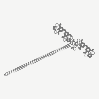 C=C=C=C=C=C=C=C=C=C=C=C=C=C=C=C=C=C=C=C=C=C=C=C=C=C=C=C=C=C=C=C=C=C=C=C(N(C(C)=O)C1CC(=O)N(c2c(CC)cc(Cc3cc(CC)c(N4C(=O)C=CC4=O)c(CC)c3)cc2CC)C1=O)N(C(C)C)C1CC(=O)N(c2c(CC)cc(Cc3cc(CC)c(N4C(=O)C=CC4=O)c(CC)c3)cc2CC)C1=O